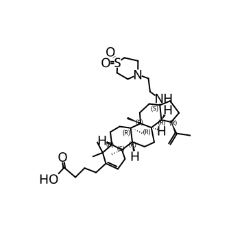 C=C(C)[C@@H]1CC[C@]2(NCCN3CCS(=O)(=O)CC3)CC[C@]3(C)[C@H](CC[C@@H]4[C@@]5(C)CC=C(CCCC(=O)O)C(C)(C)[C@@H]5CC[C@]43C)[C@@H]12